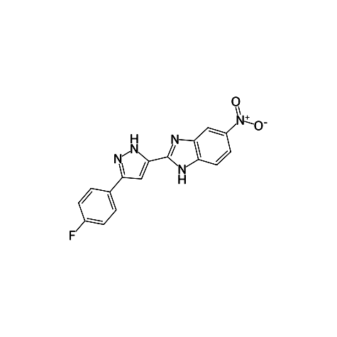 O=[N+]([O-])c1ccc2[nH]c(-c3cc(-c4ccc(F)cc4)n[nH]3)nc2c1